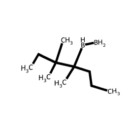 BBC(C)(CCC)C(C)(C)CC